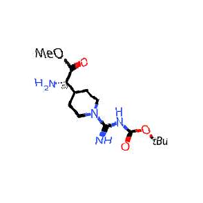 COC(=O)[C@@H](N)C1CCN(C(=N)NC(=O)OC(C)(C)C)CC1